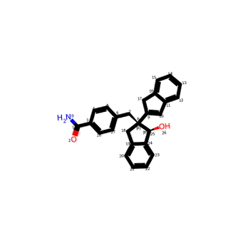 NC(=O)c1ccc(C[C@]2(C3=Cc4ccccc4C3)Cc3ccccc3[C@@H]2O)cc1